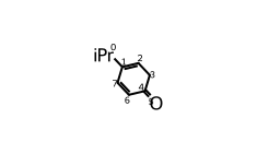 CC(C)C1=CCC(=O)C=C1